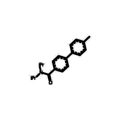 Cc1ccc(-c2ccc(C(=O)N(C(C)C)C(C)C)cc2)cc1